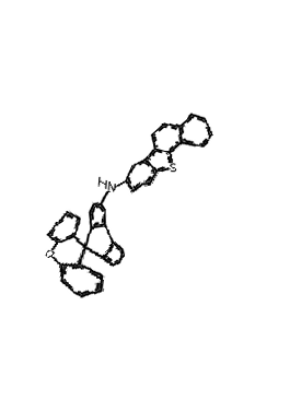 c1ccc2c(c1)Oc1ccccc1C21c2ccccc2-c2cc(Nc3ccc4sc5c6ccccc6ccc5c4c3)ccc21